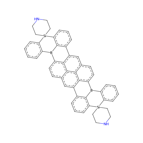 c1ccc2c(c1)B1c3c(cccc3[Si]23CCNCC3)-c2cc3ccc4c5c(cc6ccc1c2c6c35)-c1cccc2c1B4c1ccccc1[Si]21CCNCC1